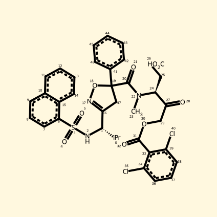 CC(C)[C@H](NS(=O)(=O)c1cccc2ccccc12)C1=NOC(C(=O)N(C)[C@@H](CC(=O)O)C(=O)COC(=O)c2c(Cl)cccc2Cl)(c2ccccc2)C1